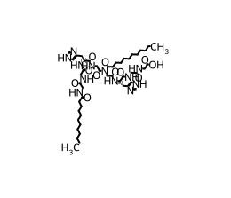 CCCCCCCCCCCC(=O)NCC(=O)NCC(=O)N[C@@H](Cc1c[nH]cn1)C(=O)NCC(=O)N(CC(=O)N[C@@H](Cc1c[nH]cn1)C(=O)NCC(=O)NCC(=O)O)C(=O)CCCCCCCCCCC